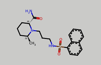 C[C@H]1CCC[C@H](C(N)=O)N1C[CH]CNS(=O)(=O)c1cccc2ccccc12